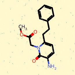 COC(=O)Cn1c(CCc2ccccc2)ccc(N)c1=O